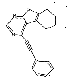 C(#Cc1ncnc2sc3c(c12)CCCC3)c1ccccc1